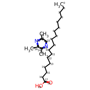 CCCCCCCCCCCCCCCCCC(=O)O.Cc1cnc(C)c(C)n1